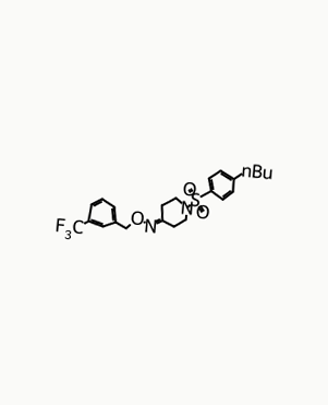 CCCCc1ccc(S(=O)(=O)N2CCC(=NOCc3cccc(C(F)(F)F)c3)CC2)cc1